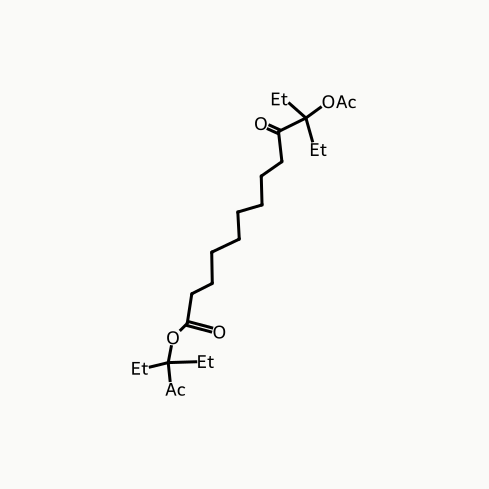 CCC(CC)(OC(=O)CCCCCCCCC(=O)C(CC)(CC)OC(C)=O)C(C)=O